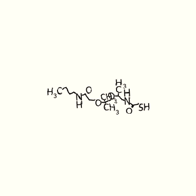 CCCCNC(=O)CCOC(C)(C)COC(C)CNC(=O)CS